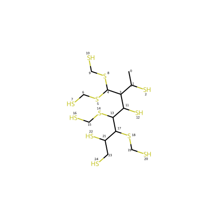 C[C](S)C(C(SCS)SCS)C(S)C(SCS)C(SCS)C(S)CS